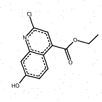 CCOC(=O)c1cc(Cl)nc2cc(O)ccc12